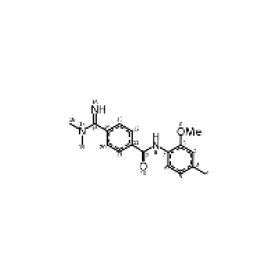 COc1cc(C)ccc1NC(=O)c1ccc(C(=N)N(C)C)cc1